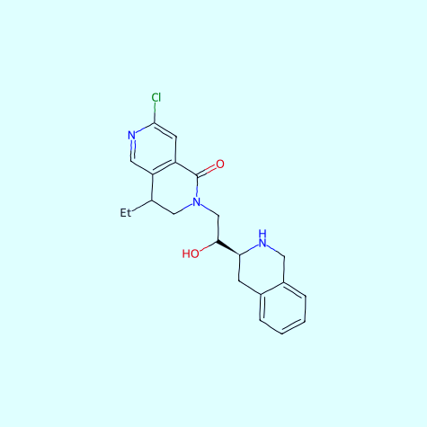 CCC1CN(CC(O)[C@@H]2Cc3ccccc3CN2)C(=O)c2cc(Cl)ncc21